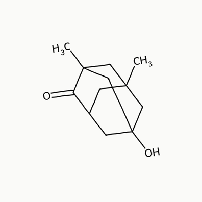 CC12CC3CC(O)(C1)CC(C)(C2)C3=O